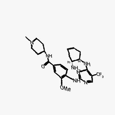 COc1cc(C(=O)NC2CCN(C)CC2)ccc1Nc1ncc(C(F)(F)F)c(N[C@@H]2CCCC[C@H]2N)n1